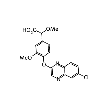 COc1cc(C(OC)C(=O)O)ccc1Oc1cnc2cc(Cl)ccc2n1